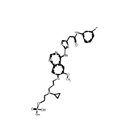 COc1cc2c(Nc3ncc(CC(=O)Nc4cccc(F)c4)s3)ncnc2cc1OCCCN(CCOP(=O)(O)O)C1CC1